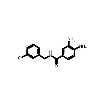 Nc1ccc(C(=O)NCc2cccc(Cl)c2)cc1N